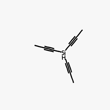 CC#C[SiH](C#CC)C#CC